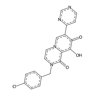 O=c1c(-c2ccncn2)cn2ccn(Cc3ccc(Cl)cc3)c(=O)c2c1O